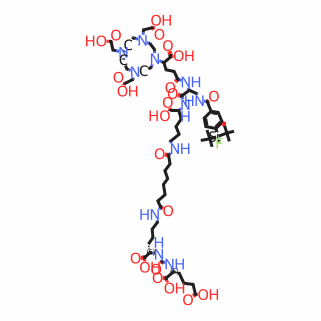 CC(C)(C)[Si](F)(c1ccc(C(=O)NCC(NC(=O)CCC(C(=O)O)N2CCN(CC(=O)O)CCN(CC(=O)O)CCN(CC(=O)O)CC2)C(=O)NC(CCCCNC(=O)CCCCCCC(=O)NCCCC[C@H](NC(=O)N[C@@H](CCCC(=O)O)C(=O)O)C(=O)O)C(=O)O)cc1)C(C)(C)C